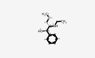 CCN[C@@H](COC)[C@H](O)c1ccccc1